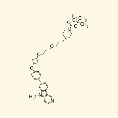 Cn1c2ccncc2c2ccc(-c3ccc(O[C@H]4C[C@H](OCCCOCCCN5CCN(C(=O)OC(C)(C)C)CC5)C4)nc3)cc21